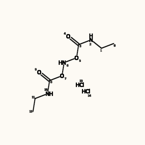 CCNC(=O)ONOC(=O)NCC.Cl.Cl